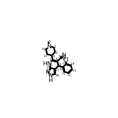 CN1CCC(C2=C(C#N)C(c3ccccc3Cl)c3c[nH]nc3N2)CC1